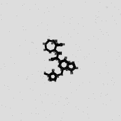 Cc1ncc(Cc2cc(C(=O)NC3CCCCNC3=O)nc3ccsc23)s1